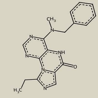 CCc1ncc2c(=O)[nH]c3c(N(C)Cc4ccccc4)ncnc3n12